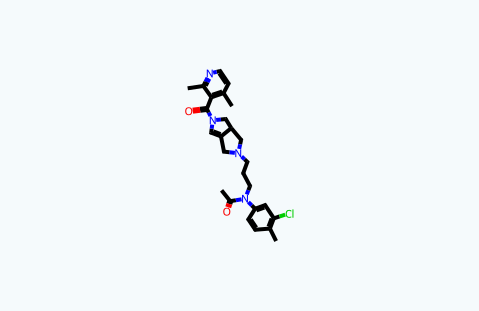 CC(=O)N(CCCN1CC2=CN(C(=O)c3c(C)ccnc3C)CC2C1)c1ccc(C)c(Cl)c1